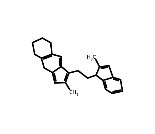 CC1=Cc2ccccc2C1CCC1=C(C)C=C2CC3=C(C=C21)CCCC3